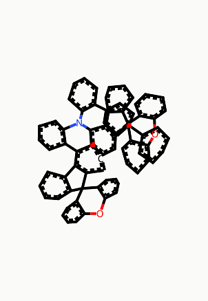 c1ccc(-c2ccc(-c3ccccc3N(c3ccccc3-c3cccc4c3-c3ccccc3C43c4ccccc4Oc4ccccc43)c3cccc4c3-c3ccccc3C43c4ccccc4Oc4ccccc43)cc2)cc1